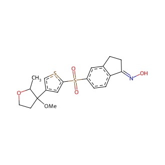 COC1(c2csc(S(=O)(=O)c3ccc4c(c3)CCC4=NO)c2)CCOC1C